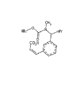 CCCC(c1cccc(/C=C\C(=O)O)c1)N(C)C(=O)OC(C)(C)C